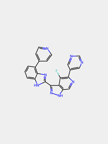 Fc1c(-c2cncnc2)ncc2[nH]nc(-c3nc4c(-c5ccncc5)cccc4[nH]3)c12